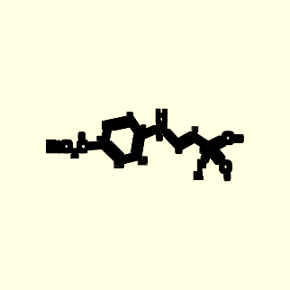 CCOC(=O)c1ccc(NC=CS(=O)(=O)F)cc1